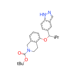 CC(C)C(Oc1cccc2c1CCN(C(=O)OC(C)(C)C)C2)c1ccc2[nH]ncc2c1